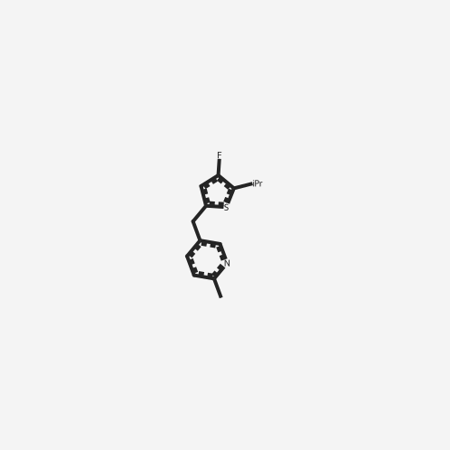 Cc1ccc(Cc2cc(F)c(C(C)C)s2)cn1